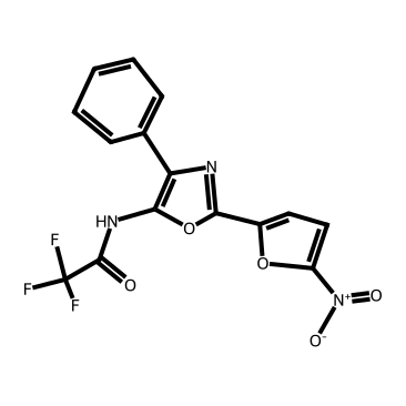 O=C(Nc1oc(-c2ccc([N+](=O)[O-])o2)nc1-c1ccccc1)C(F)(F)F